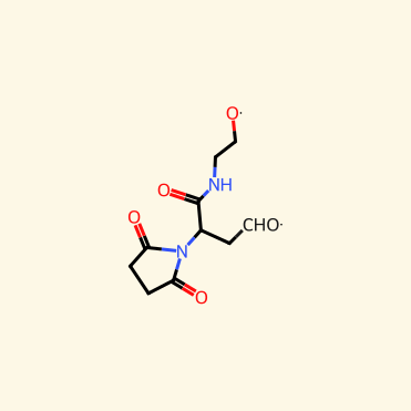 [O]CCNC(=O)C(C[C]=O)N1C(=O)CCC1=O